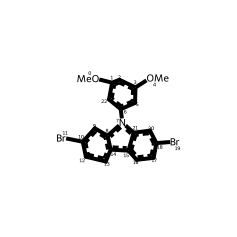 COc1cc(OC)cc(-n2c3cc(Br)ccc3c3ccc(Br)cc32)c1